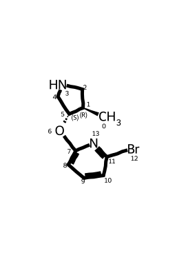 C[C@@H]1CNC[C@H]1Oc1cccc(Br)n1